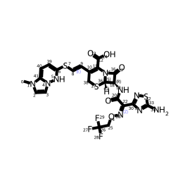 CN1C=CN2NC(S/C=C/C3=C(C(=O)O)N4C(=O)[C@@H](NC(=O)/C(=N\OCC(F)(F)F)c5nsc(N)n5)[C@@H]4SC3)=CC=C12